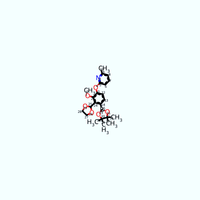 COc1c(Oc2cccc(C)n2)ccc(B2OC(C)(C)C(C)(C)O2)c1C1OCCO1